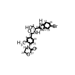 Cc1cc(C(=O)N[C@@H](CO)c2nc3cc(Br)ccc3[nH]2)ccc1N1CCOCC1=O